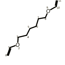 C=COCCCCCCOC=C